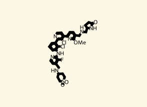 COc1nc(-c2ccnc(-c3cccc(Nc4nccc(CNC5CCS(=O)(=O)CC5)c4F)c3Cl)c2Cl)ccc1CNCC1CCC(=O)N1